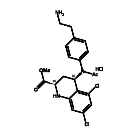 COC(=O)[C@@H]1C[C@@H](N(C(C)=O)c2ccc(CCN)cc2)c2c(Cl)cc(Cl)cc2N1.Cl